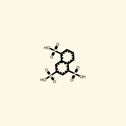 O=S(=O)(O)c1cc(S(=O)(=O)O)c2cccc(S(=O)(=O)O)c2c1